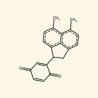 Cc1ccc2c3c(ccc(C)c13)C(C1=CC(=O)C=CC1=O)C2